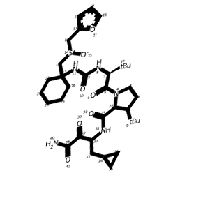 CC(C)(C)C1CCN(C(=O)[C@@H](NC(=O)NC2(C[S+]([O-])Cc3ccco3)CCCCC2)C(C)(C)C)C1C(=O)NC(CC1CC1)C(=O)C(N)=O